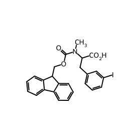 CN(C(=O)OCC1c2ccccc2-c2ccccc21)C(Cc1cccc(I)c1)C(=O)O